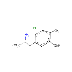 COc1cc(C[C@@H](N)C(=O)O)ccc1C.Cl